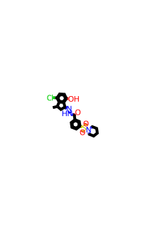 CC1C/C(=N\NC(=O)c2cccc(S(=O)(=O)N3CCCCC3)c2)c2c(O)ccc(Cl)c21